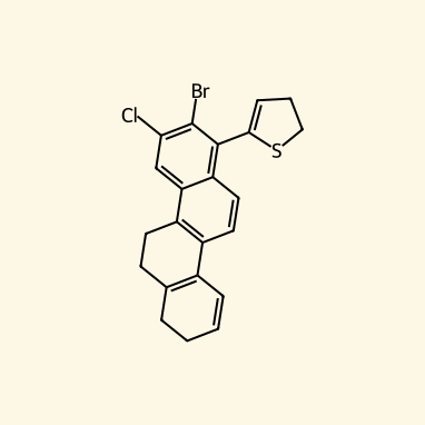 Clc1cc2c3c(ccc2c(C2=CCCS2)c1Br)C1=C(CCC=C1)CC3